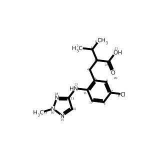 CC(C)C(Cc1cc(Cl)ccc1Nc1cnn(C)n1)C(=O)O